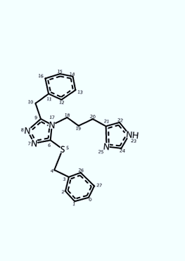 c1ccc(CSc2nnc(Cc3ccccc3)n2CCCc2c[nH]cn2)cc1